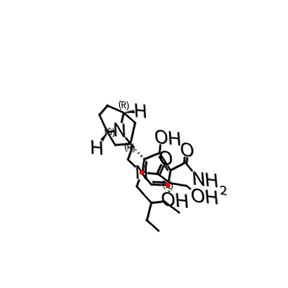 CCC(CC)CN(CCN1[C@@H]2CC[C@H]1C[C@@H](c1cccc(C(N)=O)c1O)C2)C(=O)[C@@H](O)CO